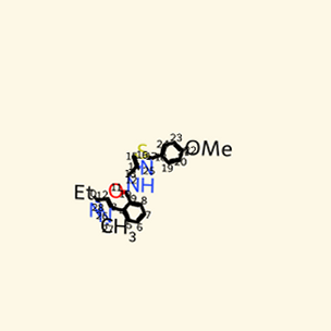 CCc1cc(-c2ccccc2C(=O)NCc2csc(-c3ccc(OC)cc3)n2)n(C)n1